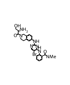 CNC(=O)c1ccccc1Nc1nc(Nc2ccc3c(c2)CCN(C(=O)[C@@H](N)CO)C3)ncc1Br